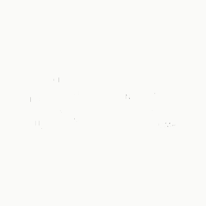 C=C1OC(c2ccc(C(=O)OC)nc2)OC1(C)C